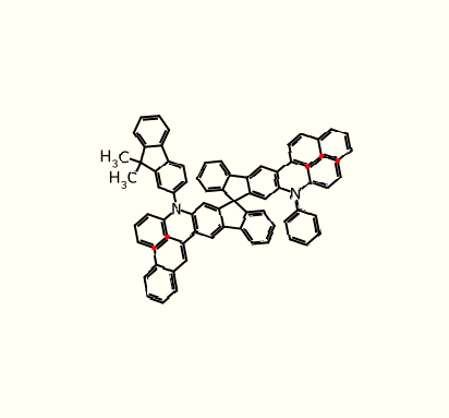 CC1(C)c2ccccc2-c2ccc(N(c3ccccc3)c3cc4c(cc3-c3ccc5ccccc5c3)-c3ccccc3C43c4ccccc4-c4cc(-c5ccc6ccccc6c5)c(N(c5ccccc5)c5ccccc5)cc43)cc21